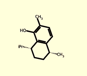 Cc1ccc2c(c1O)[C@@H](C(C)C)CC[C@H]2C